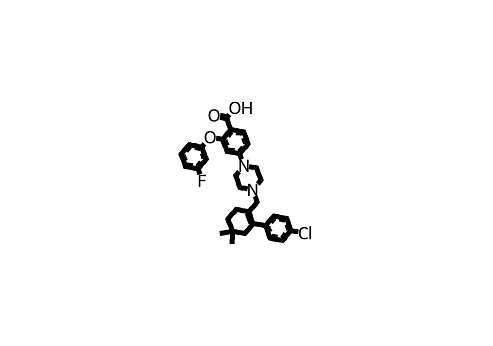 CC1(C)CCC(CN2CCN(c3ccc(C(=O)O)c(Oc4cccc(F)c4)c3)CC2)=C(c2ccc(Cl)cc2)C1